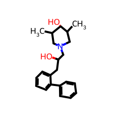 CC1CN(CC(O)Cc2ccccc2-c2ccccc2)CC(C)C1O